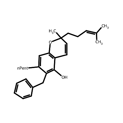 CCCCCc1cc2c(c(O)c1Cc1ccccc1)C=CC(C)(CCC=C(C)C)O2